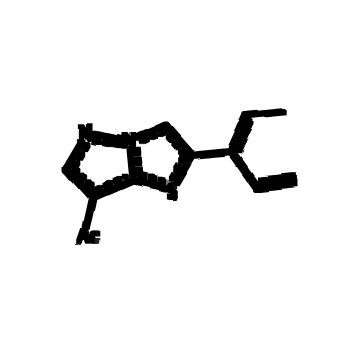 C=C/C(=C\C)c1cn2ncc(C(C)=O)c2s1